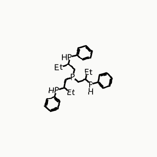 CCC(CP(CC(CC)Pc1ccccc1)CC(CC)Pc1ccccc1)Pc1ccccc1